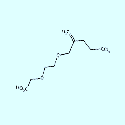 C=C(CCC(Cl)(Cl)Cl)COCCOCC(=O)O